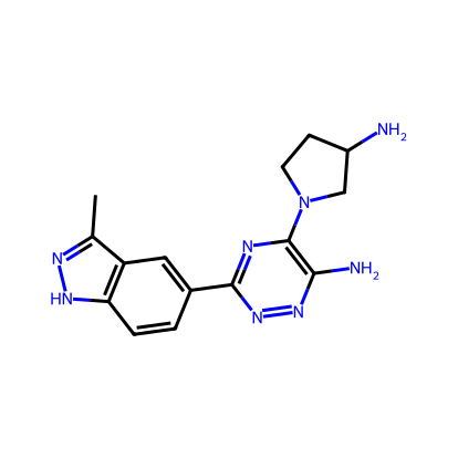 Cc1n[nH]c2ccc(-c3nnc(N)c(N4CCC(N)C4)n3)cc12